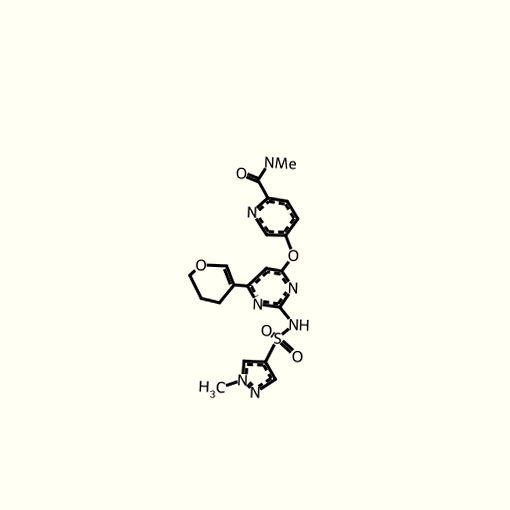 CNC(=O)c1ccc(Oc2cc(C3=COCCC3)nc(NS(=O)(=O)c3cnn(C)c3)n2)cn1